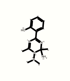 CC1=NC(c2ccccc2O)=NC(C)(N)N1N(C)C